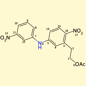 CC(=O)OCCc1cc(Nc2cccc([N+](=O)[O-])c2)ccc1[N+](=O)[O-]